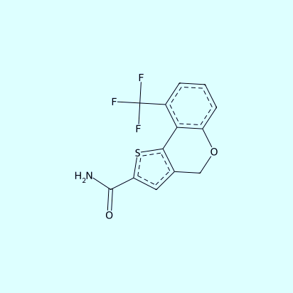 NC(=O)c1cc2c(s1)-c1c(cccc1C(F)(F)F)OC2